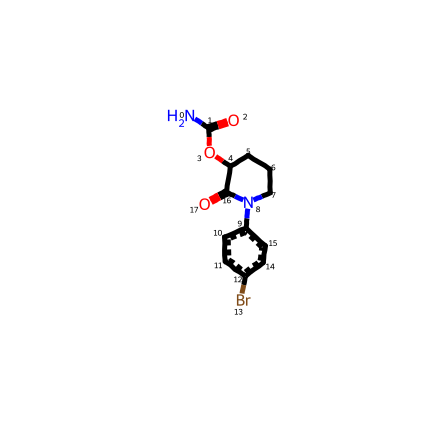 NC(=O)OC1CCCN(c2ccc(Br)cc2)C1=O